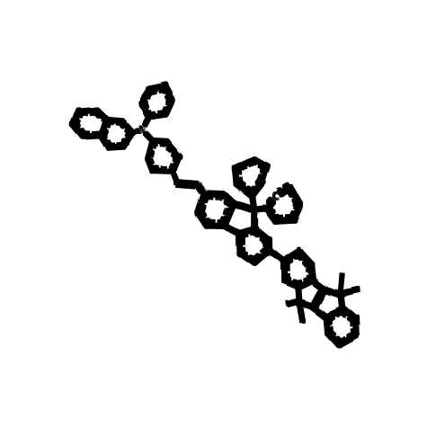 CC1(C)C2=C(c3ccccc31)C(C)(C)c1cc(-c3ccc4c(c3)C(c3ccccc3)(c3ccccc3)c3cc(/C=C/c5ccc(N(c6ccccc6)c6ccc7ccccc7c6)cc5)ccc3-4)ccc12